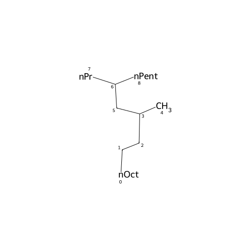 CCCCCCCCCCC(C)CC(CCC)CCCCC